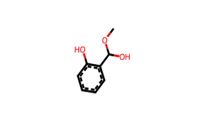 COC(O)c1ccccc1O